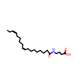 CC/C=C\CCCC/C=C\CCCCCCCC(=O)NCCCC(=O)O